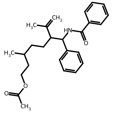 C=C(C)C(CCC(C)CCOC(C)=O)C(NC(=O)c1ccccc1)c1ccccc1